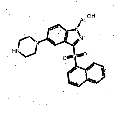 CC(=O)n1nc(S(=O)(=O)c2cccc3ccccc23)c2cc(N3CCNCC3)ccc21.Cl